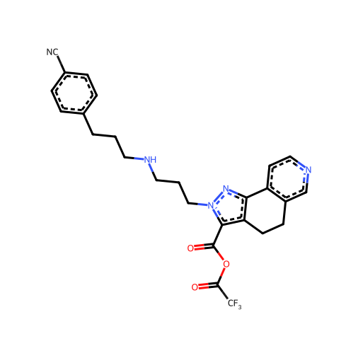 N#Cc1ccc(CCCNCCCn2nc3c(c2C(=O)OC(=O)C(F)(F)F)CCc2cnccc2-3)cc1